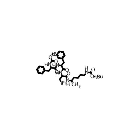 CC(C)CC(NC(=O)C(Cc1ccccc1)NC(=O)C(Cc1ccccc1)NC(=O)OC(C)(C)C)C(=O)NC(C)CCCCNC(=O)OC(C)(C)C